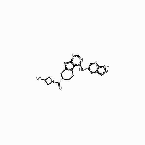 N#CC1CN(C(=O)[C@H]2CCc3c(sc4ncnc(Nc5cnc6[nH]ncc6c5)c34)C2)C1